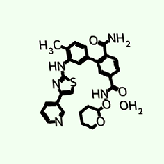 Cc1ccc(-c2cc(C(=O)NOC3CCCCO3)ccc2C(N)=O)cc1Nc1nc(-c2cccnc2)cs1.O